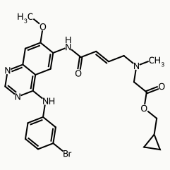 COc1cc2ncnc(Nc3cccc(Br)c3)c2cc1NC(=O)C=CCN(C)CC(=O)OCC1CC1